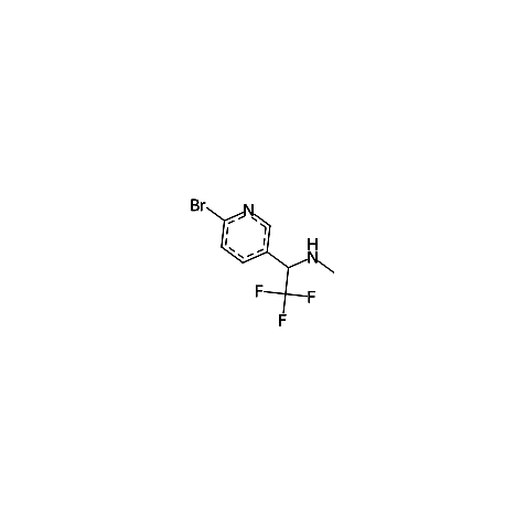 CNC(c1ccc(Br)nc1)C(F)(F)F